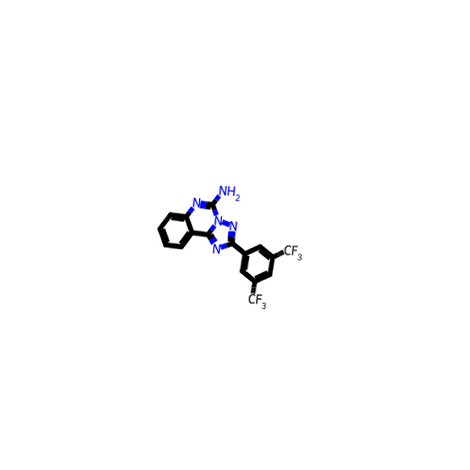 Nc1nc2ccccc2c2nc(-c3cc(C(F)(F)F)cc(C(F)(F)F)c3)nn12